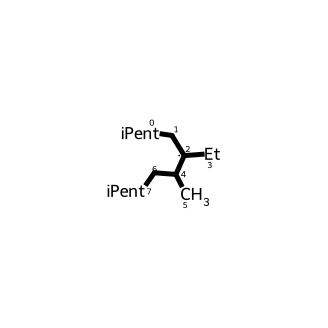 CCCC(C)C[C](CC)C(C)CC(C)CCC